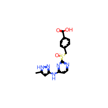 Cc1cc(Nc2ccnc([S+]([O-])Cc3ccc(C(=O)O)cc3)n2)n[nH]1